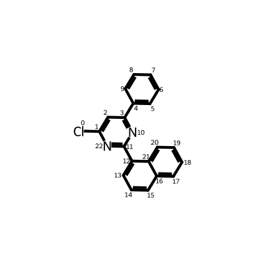 Clc1cc(-c2ccccc2)nc(-c2cccc3ccccc23)n1